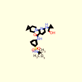 CC(C)(C)NS(=O)(=O)c1cccc(NC(=O)c2ccc(NC3(CO)CC3)nc2N2CCC3(CC2)CC3)c1